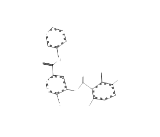 CC(Oc1cc(C(=O)Nc2cncnc2)nnc1N)c1c(Cl)ccc(F)c1Cl